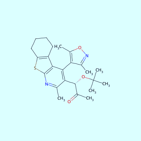 CC(=O)[C@@H](OC(C)(C)C)c1c(C)nc2sc3c(c2c1-c1c(C)noc1C)CCCC3